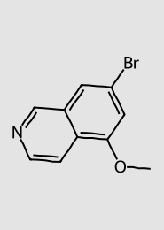 COc1cc(Br)cc2cnccc12